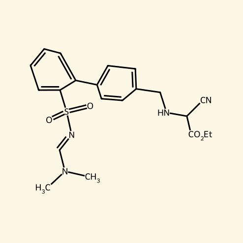 CCOC(=O)C(C#N)NCc1ccc(-c2ccccc2S(=O)(=O)N=CN(C)C)cc1